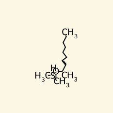 CCCCCCC=CC(C)O[SiH](C)C